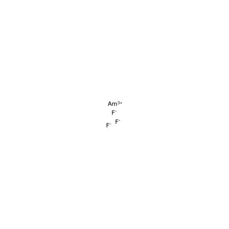 [Am+3].[F-].[F-].[F-]